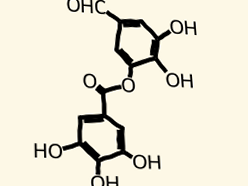 O=Cc1cc(O)c(O)c(OC(=O)c2cc(O)c(O)c(O)c2)c1